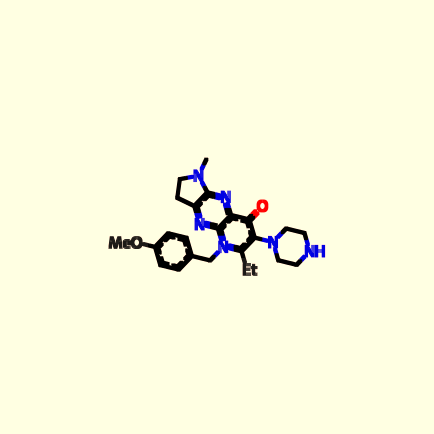 CCc1c(N2CCNCC2)c(=O)c2nc3c(nc2n1Cc1ccc(OC)cc1)CCN3C